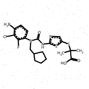 Bc1ccc(N(CC2CCCC2)C(=O)Nc2ncc(SC(C)(C)C(=O)O)s2)c(F)c1Cl